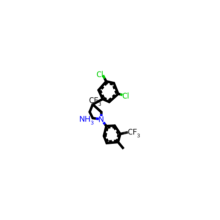 Cc1ccc(N2CCC(c3cc(Cl)cc(Cl)c3)(C(F)(F)F)C2)cc1C(F)(F)F.N